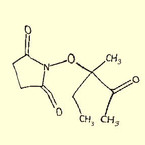 CCC(C)(ON1C(=O)CCC1=O)C(C)=O